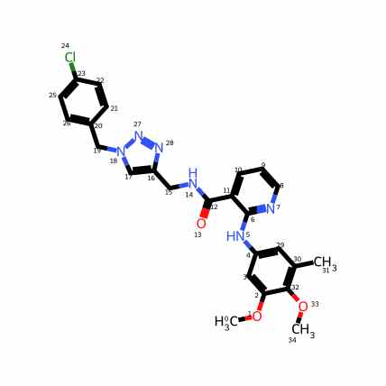 COc1cc(Nc2ncccc2C(=O)NCc2cn(Cc3ccc(Cl)cc3)nn2)cc(C)c1OC